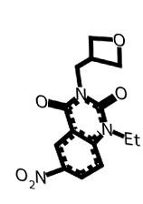 CCn1c(=O)n(CC2COC2)c(=O)c2cc([N+](=O)[O-])ccc21